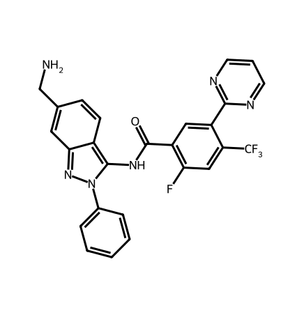 NCc1ccc2c(NC(=O)c3cc(-c4ncccn4)c(C(F)(F)F)cc3F)n(-c3ccccc3)nc2c1